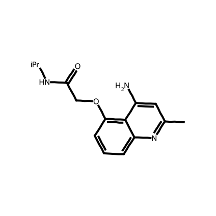 Cc1cc(N)c2c(OCC(=O)NC(C)C)cccc2n1